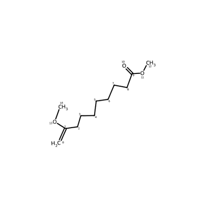 C=C(CCCCCCCC(=O)OC)OC